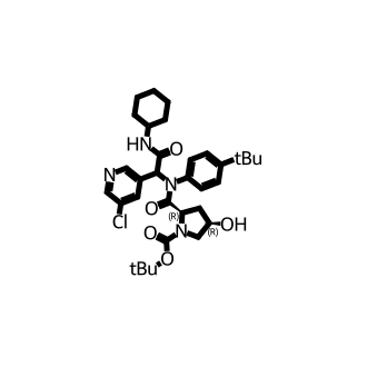 CC(C)(C)OC(=O)N1C[C@H](O)C[C@@H]1C(=O)N(c1ccc(C(C)(C)C)cc1)C(C(=O)NC1CCCCC1)c1cncc(Cl)c1